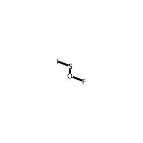 FOSI